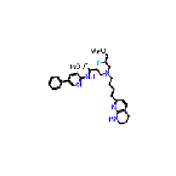 COCC(F)CN(CCCCc1ccc2c(n1)NCCC2)CCC(Nc1ccc(-c2ccccc2)cn1)C(=O)O